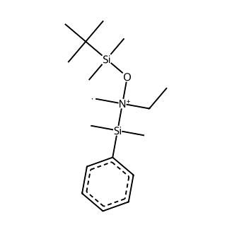 [CH2][N+](CC)(O[Si](C)(C)C(C)(C)C)[Si](C)(C)c1ccccc1